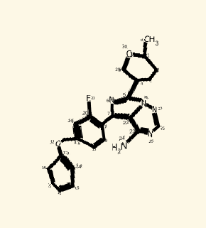 CC1CCC(c2nc(-c3ccc(Oc4ccccc4)cc3F)c3c(N)ncnn23)CO1